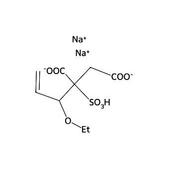 C=CC(OCC)C(CC(=O)[O-])(C(=O)[O-])S(=O)(=O)O.[Na+].[Na+]